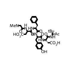 CNCC(=O)NC(CC(=O)O)C(=O)N[C@@H](Cc1ccccc1)C(=O)NC(Cc1ccc(O)cc1)C(=O)N[C@@H](CC(=O)O)C(=O)N[C@H](C(C)=O)C(C)(C)C